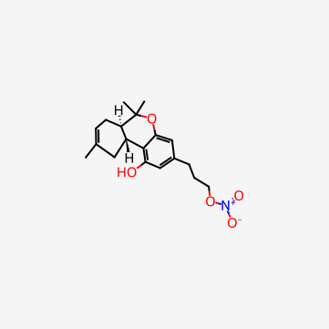 CC1=CC[C@@H]2[C@@H](C1)c1c(O)cc(CCCO[N+](=O)[O-])cc1OC2(C)C